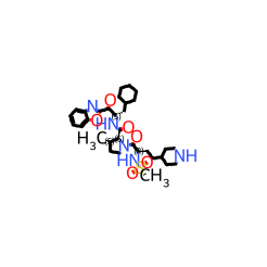 C[C@H]1CCN(C(=O)[C@@H](CCC2CCNCC2)NS(C)(=O)=O)[C@@H]1C(=O)N[C@@H](CC1CCCCC1)C(=O)c1nc2ccccc2o1